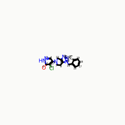 O=c1[nH]ncc(N2CCc3c(nnn3Cc3ccccc3C(F)(F)F)C2)c1Cl